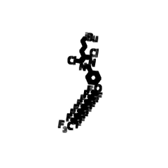 CCC(C)CCCc1c(Cl)nc(-c2ccc(OC(F)(F)C(F)(F)C(F)(F)C(F)(F)C(F)(F)C(F)(F)C(F)(F)C(F)(F)F)cc2)nc1Cl